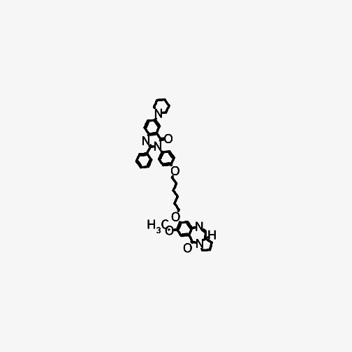 COc1cc2c(cc1OCCCCCCOc1ccc(-n3c(-c4ccccc4)nc4ccc(N5CCCCC5)cc4c3=O)cc1)N=C[C@@H]1CCCN1C2=O